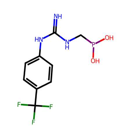 N=C(NCP(O)O)Nc1ccc(C(F)(F)F)cc1